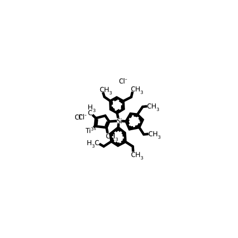 CCc1cc(CC)cc([Si](C2=C(C)[C]([Ti+3])=C(C)C2)(c2cc(CC)cc(CC)c2)c2cc(CC)cc(CC)c2)c1.[Cl-].[Cl-].[Cl-]